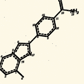 Cc1cccn2cc(-c3ccc(C(N)=O)cc3)nc12